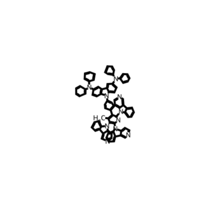 Cc1c(-c2ccc(-n3c4ccc(N(c5ccccc5)c5ccccc5)cc4c4cc(N(c5ccccc5)c5ccccc5)ccc43)cc2)c(-n2c3ccccc3c3cnccc32)nc(-n2c3ccccc3c3cnccc32)c1-n1c2ccccc2c2cnccc21